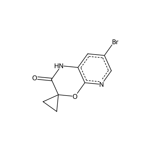 O=C1Nc2cc(Br)cnc2OC12CC2